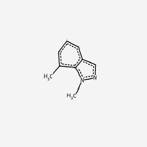 Cc1c[c]cc2cnn(C)c12